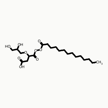 CCCCCCCCCCCCCC(=O)OOC(=O)C(CC(=O)O)OCC(O)CO